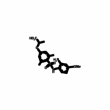 COc1ccc(NS(=O)(=O)c2c(C)cc(OC(C)C(=O)O)cc2C)c(N)c1